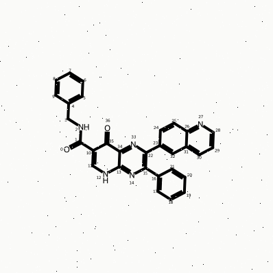 O=C(NCc1ccccc1)c1c[nH]c2nc(-c3ccccc3)c(-c3ccc4ncccc4c3)nc2c1=O